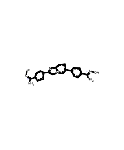 N/C(=N\O)c1ccc(-c2ccc3nc(-c4ccc(/C(N)=N\O)cc4)cn3c2)cc1